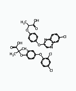 CC(C)(Oc1ccc(Oc2ccc(Cl)cc2Cl)cc1)C(=O)O.CC(Oc1ccc(Oc2cnc3cc(Cl)ccc3n2)cc1)C(=O)O